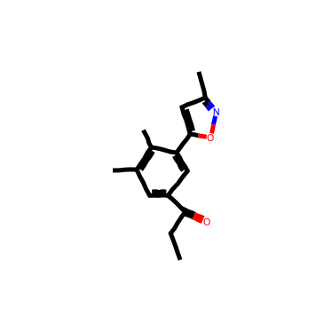 CCC(=O)c1cc(C)c(C)c(-c2cc(C)no2)c1